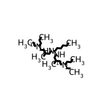 CCCCCC(NCC(C)CC[16N](CCC)CCC)NCC(C)CC[16N](CCC)CCC